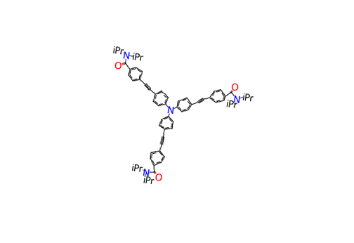 CC(C)N(C(=O)c1ccc(C#Cc2ccc(N(c3ccc(C#Cc4ccc(C(=O)N(C(C)C)C(C)C)cc4)cc3)c3ccc(C#Cc4ccc(C(=O)N(C(C)C)C(C)C)cc4)cc3)cc2)cc1)C(C)C